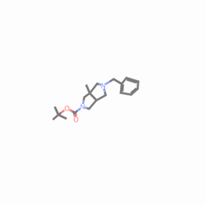 CC(C)(C)OC(=O)N1CC2CN(Cc3ccccc3)CC2(C)C1